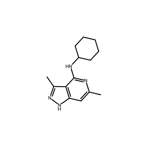 Cc1cc2[nH]nc(C)c2c(NC2CCCCC2)n1